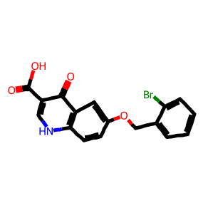 O=C(O)c1c[nH]c2ccc(OCc3ccccc3Br)cc2c1=O